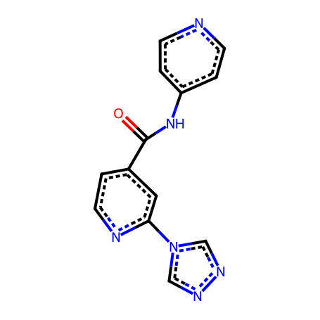 O=C(Nc1ccncc1)c1ccnc(-n2cnnc2)c1